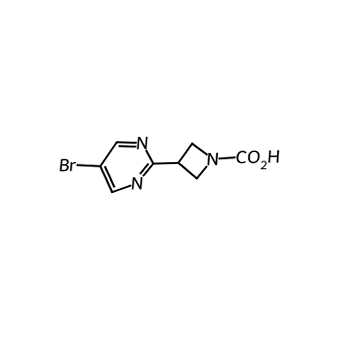 O=C(O)N1CC(c2ncc(Br)cn2)C1